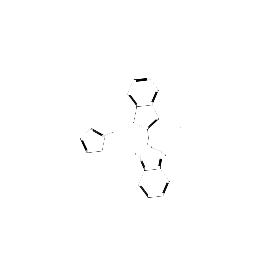 C1=CC[C]([Hf+2][CH]2C(n3nc4ccccc4n3)=Cc3ccccc32)=C1.[Cl-].[Cl-]